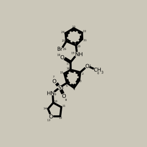 COc1ccc(S(=O)(=O)NC2CCOC2)cc1C(=O)Nc1ccccc1Br